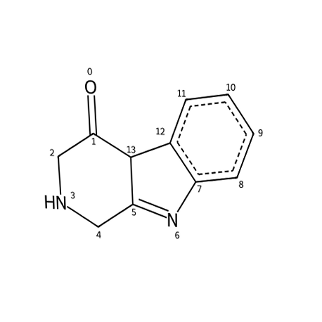 O=C1CNCC2=Nc3ccccc3C12